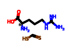 N=C(N)NCCC[C@H](N)C(=O)O.S=CS